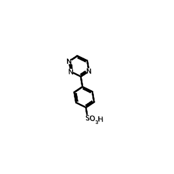 O=S(=O)(O)c1ccc(-c2nccnn2)cc1